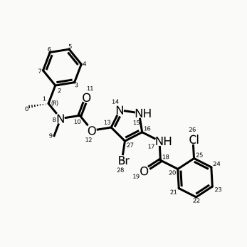 C[C@H](c1ccccc1)N(C)C(=O)Oc1n[nH]c(NC(=O)c2ccccc2Cl)c1Br